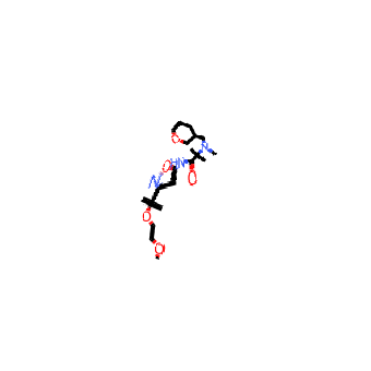 COCCOC(C)(C)c1cc(NC(=O)C(C)(C)N(C)CC2CCCOC2)on1